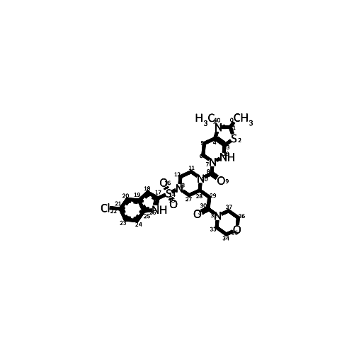 CC1SC2=C(CCN(C(=O)N3CCN(S(=O)(=O)c4cc5cc(Cl)ccc5[nH]4)CC3CC(=O)N3CCOCC3)N2)N1C